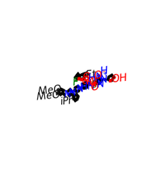 CCOC12CC1C1=C(C=C2Oc2cc(N3CCC(N4CCN(Cc5ccc(OC)c(OC)c5)C[C@H]4c4ccccc4C(C)C)CC3)ccc2C(=O)NS(=O)(=O)c2cnc(NC[C@H]3CC[C@](C)(O)CC3)c([NH+](C)[O-])c2)C(F)=CC1